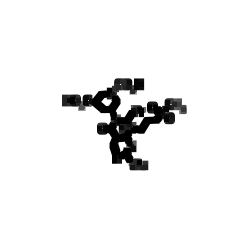 CC(C)CN(C(=O)c1cnc(C(C)(C)C)nc1NCCCS(C)(=O)=O)[C@H]1C[C@@H](C(=O)O)CN(C(=O)O)C1